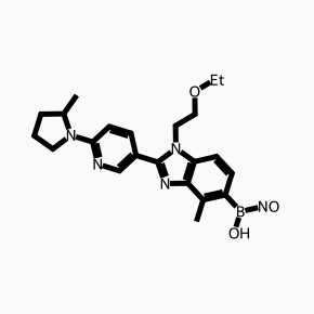 CCOCCn1c(-c2ccc(N3CCCC3C)nc2)nc2c(C)c(B(O)N=O)ccc21